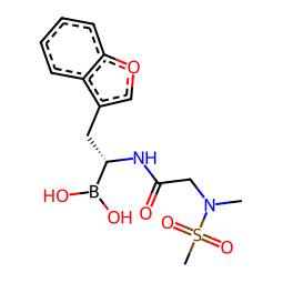 CN(CC(=O)N[C@@H](Cc1coc2ccccc12)B(O)O)S(C)(=O)=O